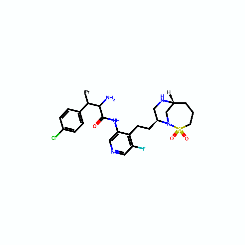 CC(C)C(c1ccc(Cl)cc1)C(N)C(=O)Nc1cncc(F)c1CC[C@H]1CN[C@@H]2CCCS(=O)(=O)N1C2